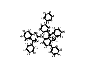 c1ccc(-c2ccc3c(c2)C24CCC(c5ccccc52)c2c(-c5ccccc5)ccc(c24)N3c2nc(-c3ccccc3)c3ccccc3n2)cc1